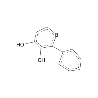 Oc1ccbc(-c2ccccc2)c1O